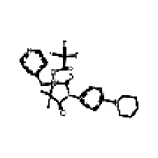 CC1(C)C(=O)N(c2ccc(N3CCCCC3)cc2)C(=O)[N+]1(Cc1ccncc1)OC(=O)C(F)(F)F